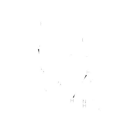 O=C1CO[C@H]2CCN(C(=O)N3CC[C@@H](Oc4cc(C(F)(F)F)ccc4F)C3)C[C@H]2N1